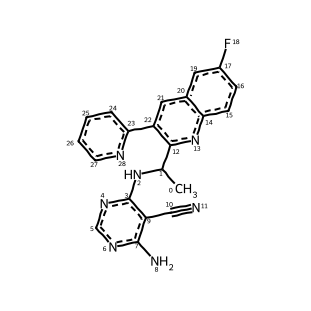 CC(Nc1ncnc(N)c1C#N)c1nc2ccc(F)cc2cc1-c1ccccn1